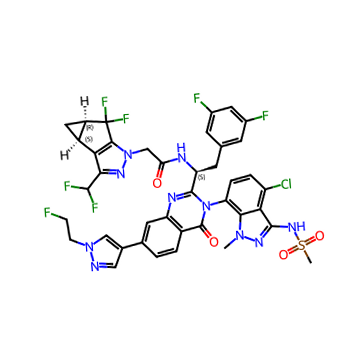 Cn1nc(NS(C)(=O)=O)c2c(Cl)ccc(-n3c([C@H](Cc4cc(F)cc(F)c4)NC(=O)Cn4nc(C(F)F)c5c4C(F)(F)[C@@H]4C[C@H]54)nc4cc(-c5cnn(CCF)c5)ccc4c3=O)c21